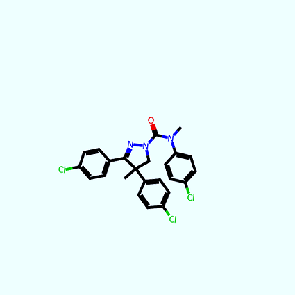 CN(C(=O)N1CC(C)(c2ccc(Cl)cc2)C(c2ccc(Cl)cc2)=N1)c1ccc(Cl)cc1